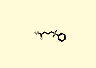 C[Si](C)(CCCC(N)=O)c1ccccc1